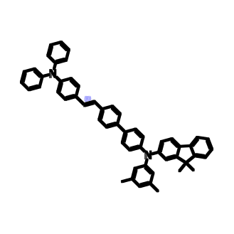 Cc1cc(C)cc(N(c2ccc(-c3ccc(/C=C/c4ccc(N(c5ccccc5)c5ccccc5)cc4)cc3)cc2)c2ccc3c(c2)C(C)(C)c2ccccc2-3)c1